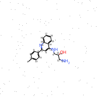 Cc1ccc(-c2cc(NCC(O)CN)c3ccccc3n2)cc1